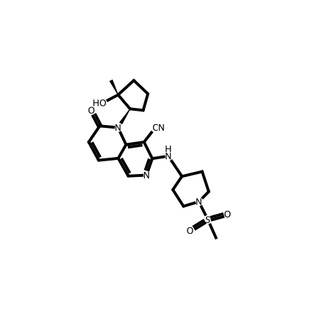 C[C@@]1(O)CCC[C@H]1n1c(=O)ccc2cnc(NC3CCN(S(C)(=O)=O)CC3)c(C#N)c21